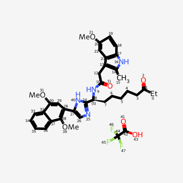 CCC(=O)CCCCC[C@H](NC(=O)Cc1c(C)[nH]c2ccc(OC)cc12)c1ncc(-c2cc(OC)c3ccccc3c2OC)[nH]1.O=C(O)C(F)(F)F